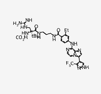 CCc1cc(Nc2nccn3c(-c4c[nH]nc4C(F)(F)F)cnc23)ccc1C(=O)NCCCNC(=O)[C@](CNC(=N)N)(NC(=O)O)C(C)(C)C